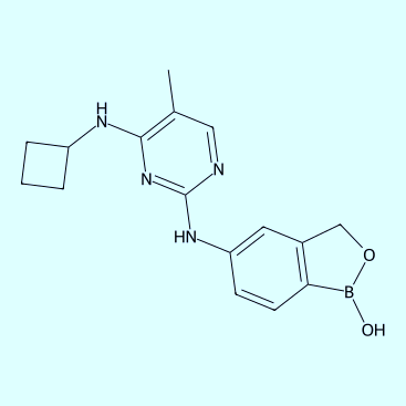 Cc1cnc(Nc2ccc3c(c2)COB3O)nc1NC1CCC1